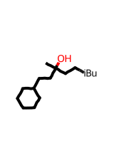 CCC(C)CCC(C)(O)CCC1CCCCC1